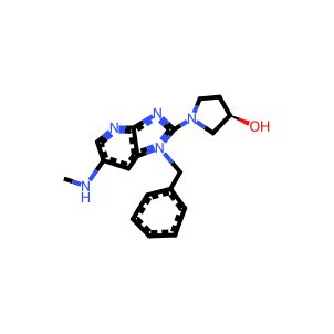 CNc1cnc2nc(N3CC[C@@H](O)C3)n(Cc3ccccc3)c2c1